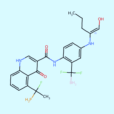 BC(F)(F)c1cc(N/C(=C/O)CCC)ccc1NC(=O)c1c[nH]c2cccc(C(C)(F)P)c2c1=O